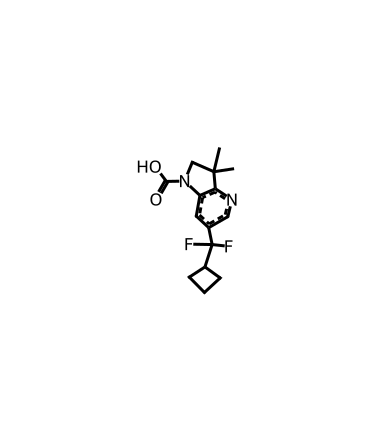 CC1(C)CN(C(=O)O)c2cc(C(F)(F)C3CCC3)cnc21